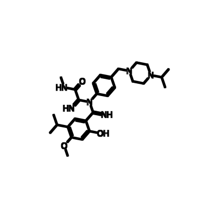 CNC(=O)C(=N)N(C(=N)c1cc(C(C)C)c(OC)cc1O)c1ccc(CN2CCN(C(C)C)CC2)cc1